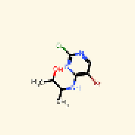 CC(O)C(C)Nc1nc(Cl)ncc1Br